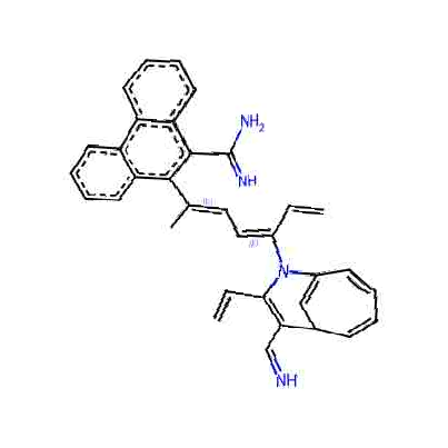 C=CC1=C(C=N)C2C=CC=CC(=C2)N1/C(C=C)=C/C=C(\C)c1c(C(=N)N)c2ccccc2c2ccccc12